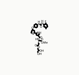 COC(=O)[C@H](CCC(=O)OCC(O)CO)NC(=O)c1c[nH]c(-c2cc(Oc3ccc(NC(=O)Nc4cc(C)ccc4F)cc3)ccn2)c1